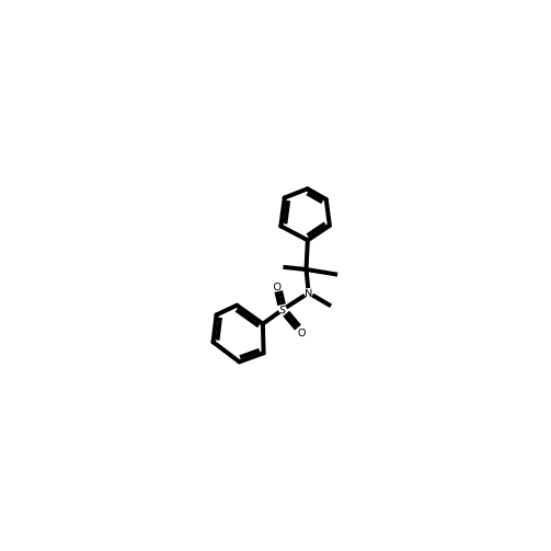 CN(C(C)(C)c1ccccc1)S(=O)(=O)c1ccccc1